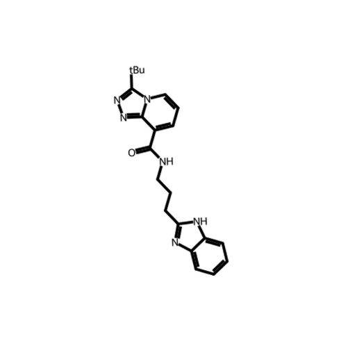 CC(C)(C)c1nnc2c(C(=O)NCCCc3nc4ccccc4[nH]3)cccn12